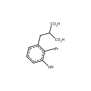 CCCc1cccc(CC(C(=O)O)C(=O)O)c1CCC